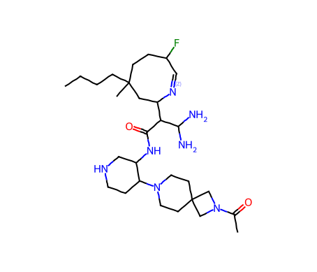 CCCCC1(C)CCC(F)/C=N\C(C(C(=O)NC2CNCCC2N2CCC3(CC2)CN(C(C)=O)C3)C(N)N)C1